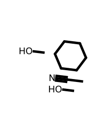 C1CCCCC1.CC#N.CO.CO